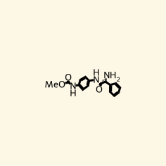 COC(=O)Nc1ccc(NC(=O)[C@@H](N)c2ccccc2)cc1